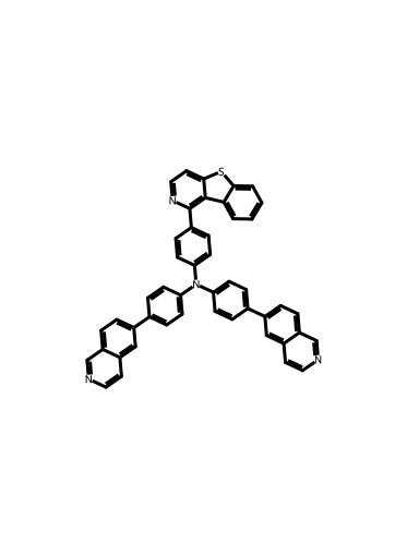 c1ccc2c(c1)sc1ccnc(-c3ccc(N(c4ccc(-c5ccc6cnccc6c5)cc4)c4ccc(-c5ccc6cnccc6c5)cc4)cc3)c12